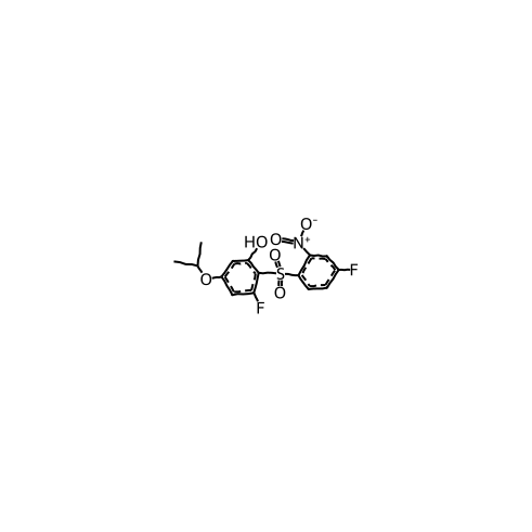 CC(C)Oc1cc(O)c(S(=O)(=O)c2ccc(F)cc2[N+](=O)[O-])c(F)c1